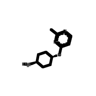 Cc1nccc(O[C@H]2CC[C@H](C(=O)O)CC2)n1